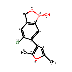 Cc1cc(-c2cc3c(cc2Cl)COB3O)c(C#N)o1